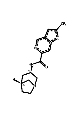 O=C(N[C@@H]1C[C@H]2CCN(C2)C1)c1cc2sc(C(F)(F)F)cc2cn1